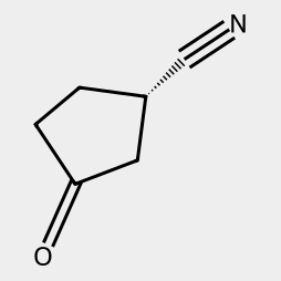 N#C[C@H]1CCC(=O)C1